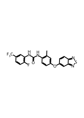 Cc1cc(Oc2ccc3nsnc3c2)ccc1NC(=O)Nc1cc(C(F)(F)F)ccc1F